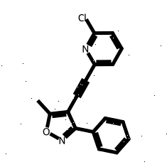 Cc1onc(-c2ccccc2)c1C#Cc1cccc(Cl)n1